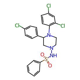 O=S(=O)(NN1CCN(c2ccc(Cl)cc2Cl)C(c2ccc(Cl)cc2)C1)c1ccccc1